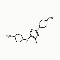 COC1CCN(c2ccc(NC3CCC(N)CC3)c(C)n2)CC1